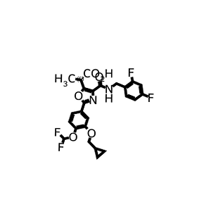 C[C@H](C(=O)O)c1oc(-c2ccc(OC(F)F)c(OCC3CC3)c2)nc1C(=O)NCc1ccc(F)cc1F